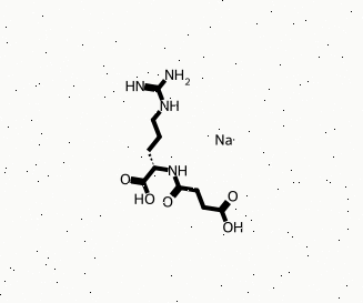 N=C(N)NCCC[C@H](NC(=O)CCC(=O)O)C(=O)O.[Na]